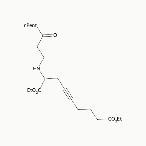 CCCCCC(=O)CCNC(CC#CCCCC(=O)OCC)C(=O)OCC